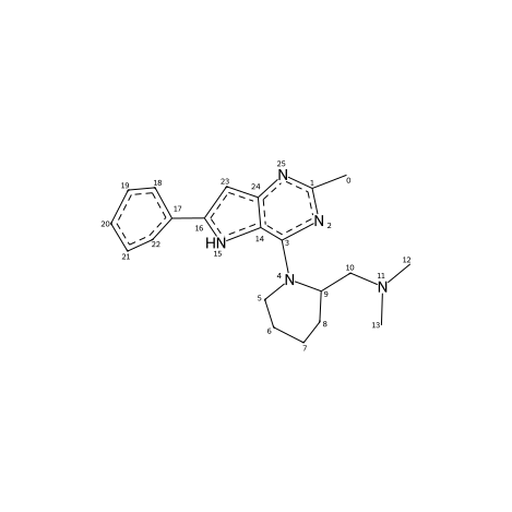 Cc1nc(N2CCCCC2CN(C)C)c2[nH]c(-c3ccccc3)cc2n1